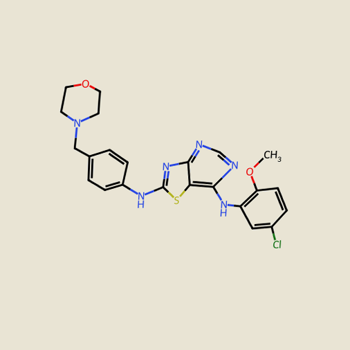 COc1ccc(Cl)cc1Nc1ncnc2nc(Nc3ccc(CN4CCOCC4)cc3)sc12